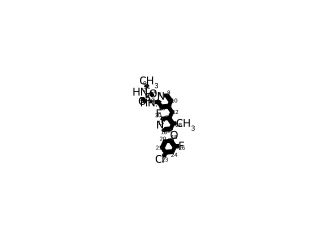 CCNS(=O)(=O)Nc1nccc(Cc2cncc(Oc3ccc(Cl)cc3F)c2C)c1F